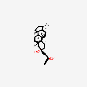 CC(=O)[C@H]1CC[C@H]2[C@@H]3CC[C@H]4C[C@@](O)(C#CC(C)O)CC[C@]4(C)[C@H]3CC[C@]12C